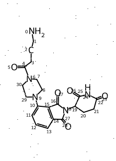 NCCCC(=O)N1CCN(c2cccc3c2C(=O)N(C2CCC(=O)NC2=O)C3=O)CC1